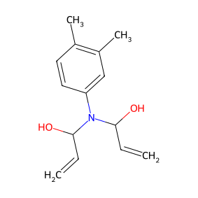 C=CC(O)N(c1ccc(C)c(C)c1)C(O)C=C